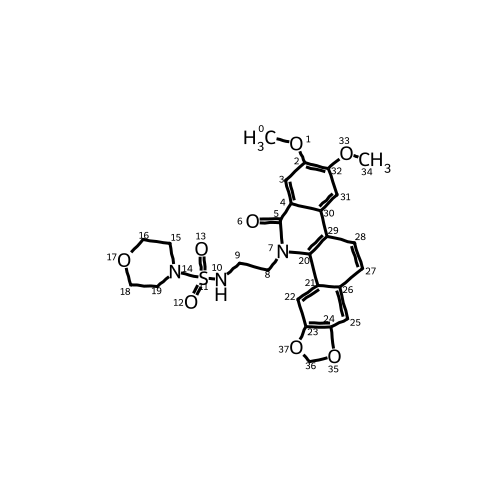 COc1cc2c(=O)n(CCNS(=O)(=O)N3CCOCC3)c3c4cc5c(cc4ccc3c2cc1OC)OCO5